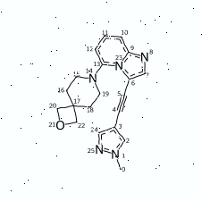 Cn1cc(C#Cc2cnc3cccc(N4CCC5(CC4)COC5)n23)cn1